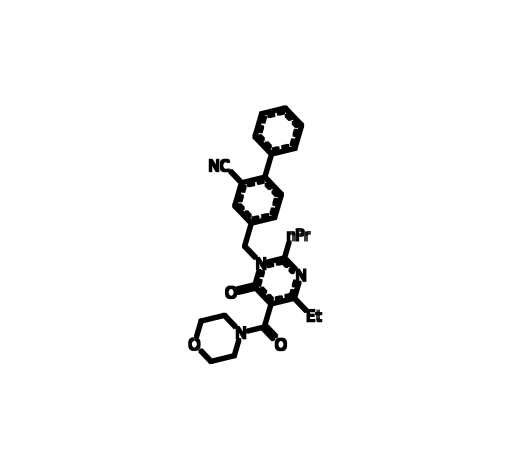 CCCc1nc(CC)c(C(=O)N2CCOCC2)c(=O)n1Cc1ccc(-c2ccccc2)c(C#N)c1